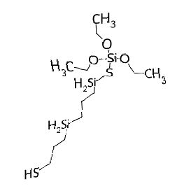 CCO[Si](OCC)(OCC)S[SiH2]CCC[SiH2]CCCS